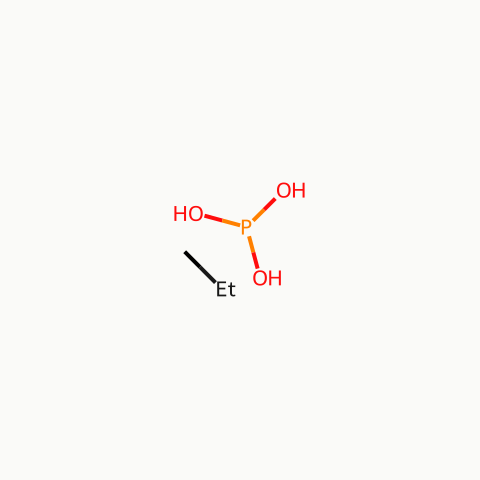 CCC.OP(O)O